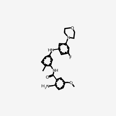 COc1ccc(N)c(C(=O)Nc2cc(Nc3cc(F)cc(N4CCOCC4)c3)ccc2C)c1